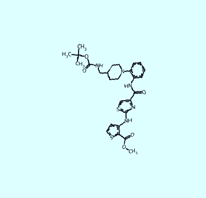 COC(=O)c1sccc1Nc1nc(C(=O)Nc2ccccc2N2CCC(CNC(=O)OC(C)(C)C)CC2)cs1